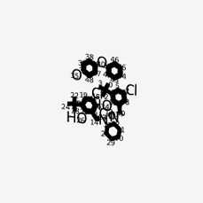 CC(C)(C)c1cc(Cl)cc(C=[N+]2[Co][N+](=Cc3cc(Cl)cc(C(C)(C)C)c3O)C3CCCCC32)c1O.[O-]c1ccc(Oc2ccccc2)cc1